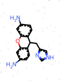 Nc1ccc2c(c1)Oc1cc(N)ccc1C2Cc1c[nH]cn1